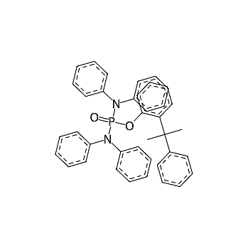 CC(C)(c1ccccc1)c1ccccc1OP(=O)(N(c1ccccc1)c1ccccc1)N(c1ccccc1)c1ccccc1